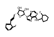 O[C@@H]1[C@H](O)[C@@H](CC#Cc2ccccc2F)O[C@H]1n1cnc2c(NC3CCCCC3F)ncnc21